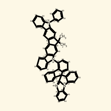 CC1(C)c2cc3c(cc2-c2cc4c5ccccc5n(-c5cccc6c5-c5ccccc5C65c6ccccc6-n6c5nc5ccccc56)c4cc21)c1ccccc1n3-c1ccccc1